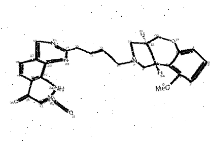 COc1cccc2c1[C@@H]1CN(CCCCc3ncc4ccc5c(c4n3)N[N+](=O)CC5=O)C[C@H]1CO2